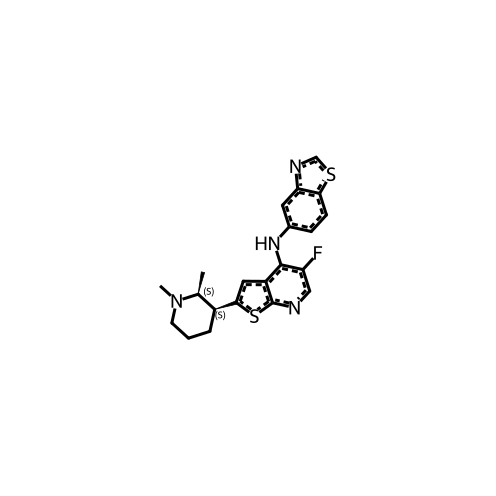 C[C@H]1[C@@H](c2cc3c(Nc4ccc5scnc5c4)c(F)cnc3s2)CCCN1C